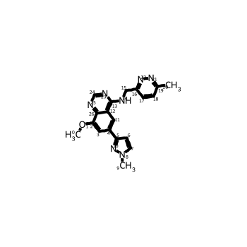 COc1cc(-c2ccn(C)n2)cc2c(NCc3ccc(C)nn3)ncnc12